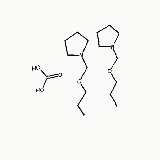 CCCOCN1CCCC1.CCCOCN1CCCC1.O=C(O)O